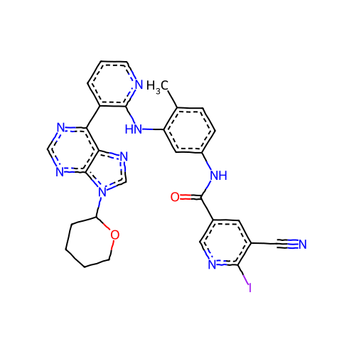 Cc1ccc(NC(=O)c2cnc(I)c(C#N)c2)cc1Nc1ncccc1-c1ncnc2c1ncn2C1CCCCO1